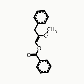 COC(=COC(=O)c1ccccc1)Cc1ccccc1